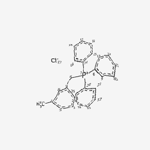 Cc1cccc(C[P+](c2ccccc2)(c2ccccc2)c2ccccc2)c1.[Cl-]